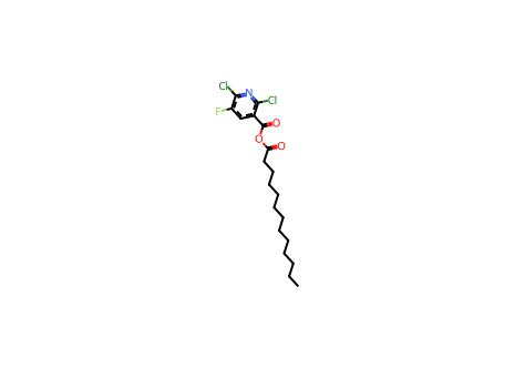 CCCCCCCCCCCCC(=O)OC(=O)c1cc(F)c(Cl)nc1Cl